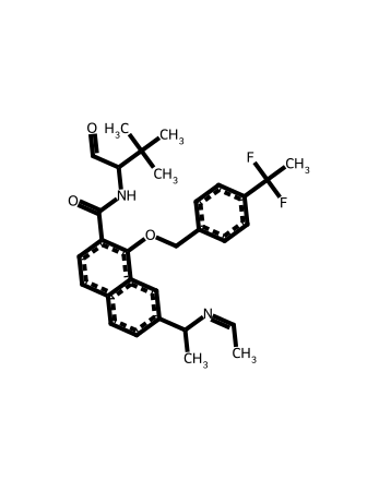 C/C=N\C(C)c1ccc2ccc(C(=O)NC(C=O)C(C)(C)C)c(OCc3ccc(C(C)(F)F)cc3)c2c1